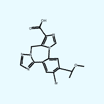 COC(C)c1cc2c(cc1Br)-c1ncnn1Cc1c(C(=O)O)ncn1-2